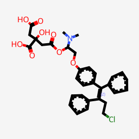 CN(C)C(COc1ccc(/C(=C(/CCCl)c2ccccc2)c2ccccc2)cc1)OC(=O)CC(O)(CC(=O)O)C(=O)O